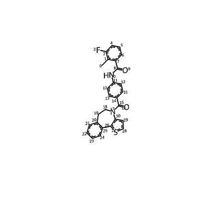 Cc1c(F)cccc1C(=O)Nc1ccc(C(=O)N2CCc3ccccc3-c3sccc32)cc1